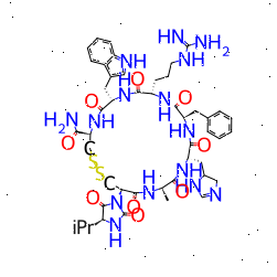 CC(C)[C@@H]1NC(=O)N([C@H]2CSSC[C@@H](C(N)=O)NC(=O)[C@H](Cc3c[nH]c4ccccc34)NC(=O)[C@H](CCCNC(=N)N)NC(=O)[C@@H](Cc3ccccc3)NC(=O)[C@H](CC3CN=CN3)NC(=O)[C@@H](C)NC2=O)C1=O